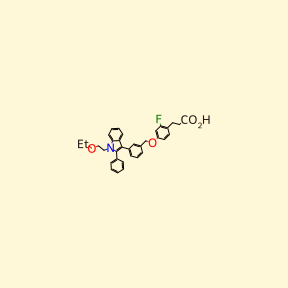 CCOCCn1c(-c2ccccc2)c(-c2cccc(COc3ccc(CCC(=O)O)c(F)c3)c2)c2ccccc21